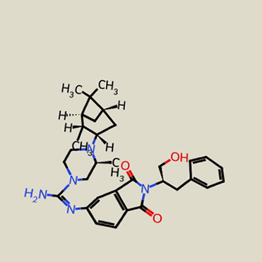 C[C@H]1[C@@H](N2CCN(C(N)=Nc3ccc4c(c3)C(=O)N([C@@H](CO)Cc3ccccc3)C4=O)C[C@@H]2C)C[C@@H]2C[C@@H]1C2(C)C